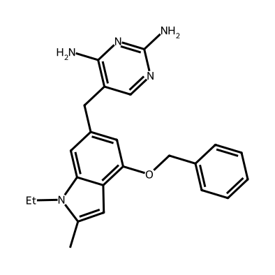 CCn1c(C)cc2c(OCc3ccccc3)cc(Cc3cnc(N)nc3N)cc21